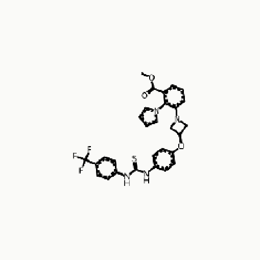 COC(=O)c1cccc(N2CC(Oc3ccc(NC(=S)Nc4ccc(C(F)(F)F)cc4)cc3)C2)c1-n1cccc1